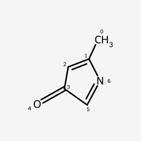 CC1=CC(=O)C=N1